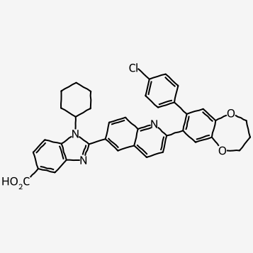 O=C(O)c1ccc2c(c1)nc(-c1ccc3nc(-c4cc5c(cc4-c4ccc(Cl)cc4)OCCCO5)ccc3c1)n2C1CCCCC1